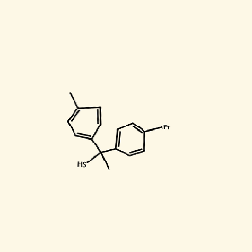 Cc1ccc(C(C)(S)c2ccc(C(C)C)cc2)cc1